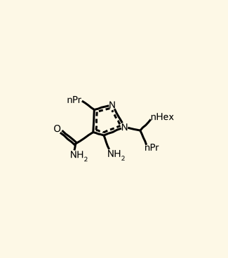 CCCCCCC(CCC)n1nc(CCC)c(C(N)=O)c1N